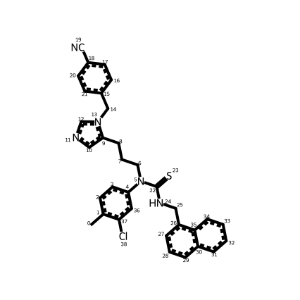 Cc1ccc(N(CCCc2cncn2Cc2ccc(C#N)cc2)C(=S)NCc2cccc3ccccc23)cc1Cl